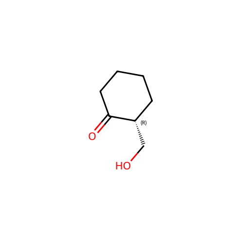 O=C1CCCC[C@@H]1CO